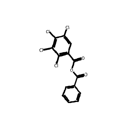 O=C(OC(=O)c1cc(Cl)c(Cl)c(Cl)c1Cl)c1ccccc1